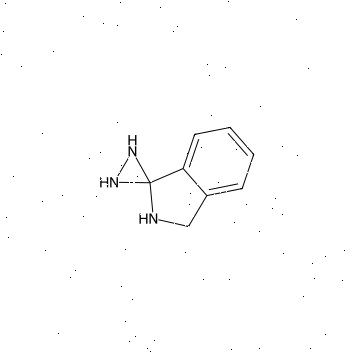 c1ccc2c(c1)CNC21NN1